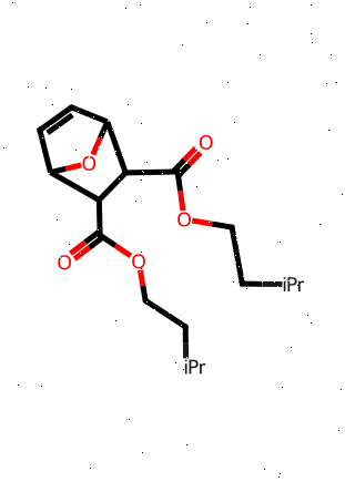 CC(C)CCOC(=O)C1C2C=CC(O2)C1C(=O)OCCC(C)C